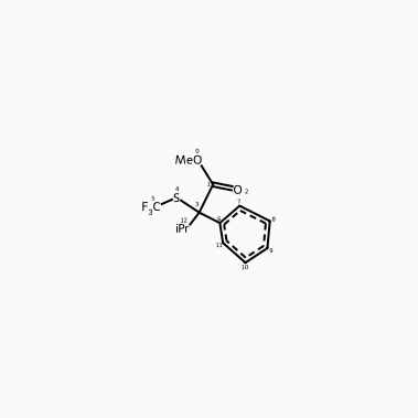 COC(=O)C(SC(F)(F)F)(c1ccccc1)C(C)C